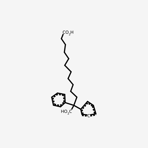 O=C(O)CCCCCCCCCCC(C(=O)O)(c1ccccc1)c1ccccc1